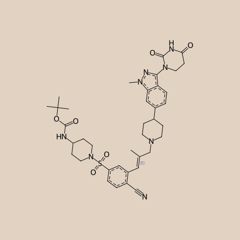 C/C(=C\c1cc(S(=O)(=O)N2CCC(NC(=O)OC(C)(C)C)CC2)ccc1C#N)CN1CCC(c2ccc3c(N4CCC(=O)NC4=O)nn(C)c3c2)CC1